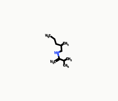 C=C(NCC(C)CCC)C(C)C